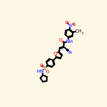 Cc1cc(NC(=O)/C(C#N)=C/c2ccc(-c3ccc(S(=O)(=O)NC4CCCC4)cc3)o2)ccc1[N+](=O)[O-]